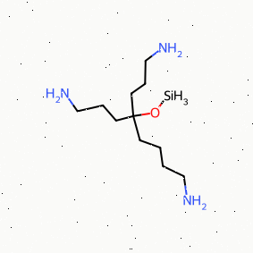 NCCCCC(CCCN)(CCCN)O[SiH3]